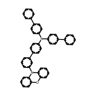 c1ccc(-c2ccc(N(c3ccc(-c4ccccc4)cc3)c3ccc(-c4cccc(N5c6ccccc6Oc6ccccc65)c4)cc3)cc2)cc1